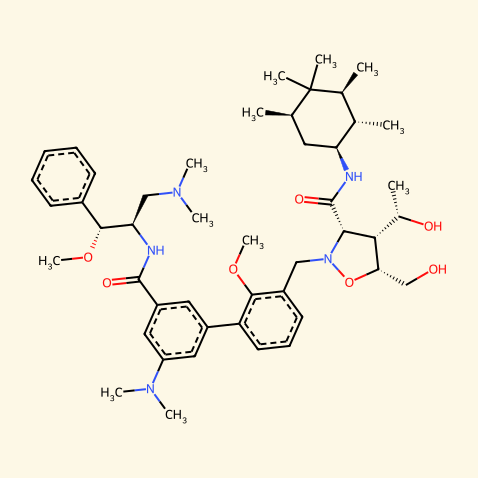 COc1c(CN2O[C@@H](CO)[C@@H]([C@H](C)O)[C@H]2C(=O)N[C@H]2C[C@@H](C)C(C)(C)[C@@H](C)[C@@H]2C)cccc1-c1cc(C(=O)N[C@H](CN(C)C)[C@H](OC)c2ccccc2)cc(N(C)C)c1